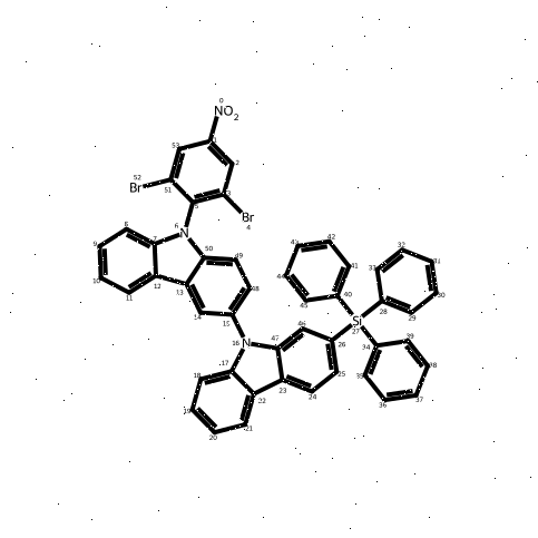 O=[N+]([O-])c1cc(Br)c(-n2c3ccccc3c3cc(-n4c5ccccc5c5ccc([Si](c6ccccc6)(c6ccccc6)c6ccccc6)cc54)ccc32)c(Br)c1